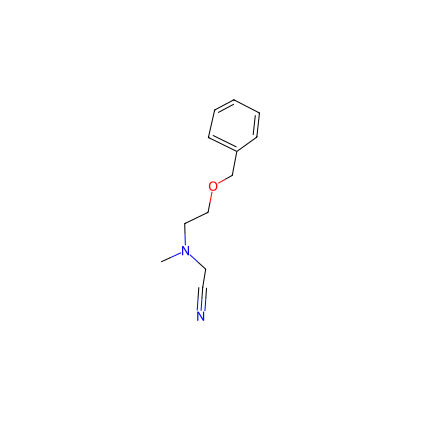 CN(CC#N)CCOCc1ccccc1